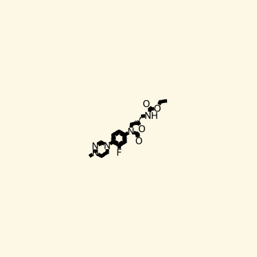 CCOC(=O)NC[C@H]1CN(c2ccc(N3C=NN(C)CC3)c(F)c2)C(=O)O1